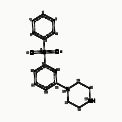 O=S(=O)(c1ccccc1)c1cccc(N2CCNCC2)c1